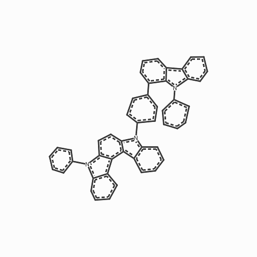 c1ccc(-n2c3ccccc3c3c4c5ccccc5n(-c5ccc(-c6cccc7c8ccccc8n(-c8ccccc8)c67)cc5)c4ccc32)cc1